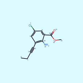 CCC#Cc1cc(Cl)cc(C(=O)OC)c1N